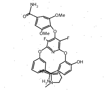 COc1cc(C(N)=O)cc(OC)c1Oc1c(F)c(Oc2cccc(C3=NCCN3C)c2)nc(Oc2cc(C(=N)N)ccc2O)c1F